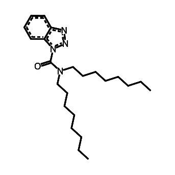 CCCCCCCCN(CCCCCCCC)C(=O)n1nnc2ccccc21